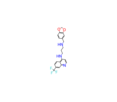 FC(F)(F)c1ccc2c(NCCCNCc3ccc4c(c3)OCO4)ccnc2c1